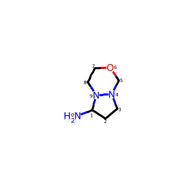 NC1CCN2COCCN12